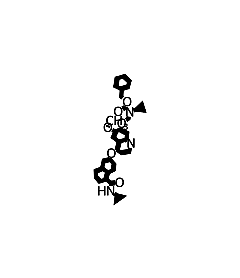 COc1cc2c(Oc3ccc4c(C(=O)NC5CC5)cccc4c3)ccnc2cc1OCN(C(=O)OCc1ccccc1)C1CC1